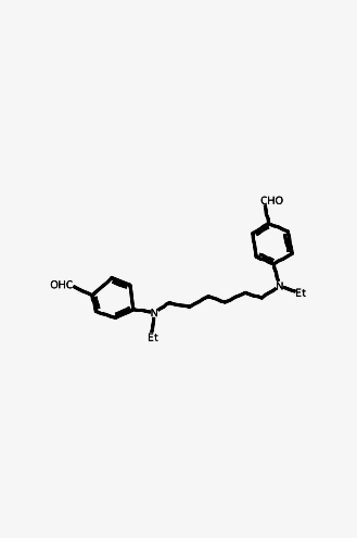 CCN(CCCCCCN(CC)c1ccc(C=O)cc1)c1ccc(C=O)cc1